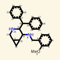 COc1ccccc1CNC1C2CC2CNC1C(c1ccccc1)c1ccccc1